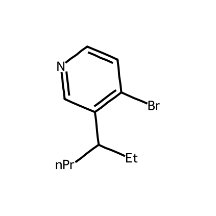 CCCC(CC)c1cnccc1Br